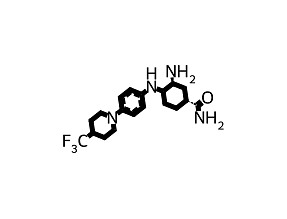 NC(=O)[C@@H]1CCC(Nc2ccc(N3CCC(C(F)(F)F)CC3)cc2)[C@@H](N)C1